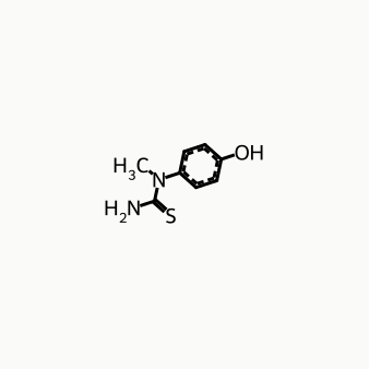 CN(C(N)=S)c1ccc(O)cc1